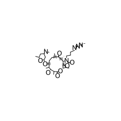 CC1CC(N(C)C)CC(O[C@H]2CC[C@@H](C)C(=O)[C@H](C)C3N(CCCCN=[N+]=[N-])C(=O)O[C@@]34C(C)C4OC(=O)C(C)C(=O)C2C)O1